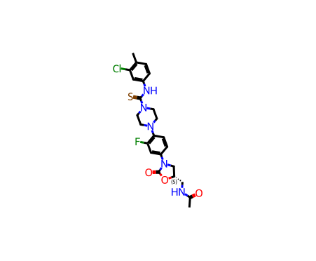 CC(=O)NC[C@H]1CN(c2ccc(N3CCN(C(=S)Nc4ccc(C)c(Cl)c4)CC3)c(F)c2)C(=O)O1